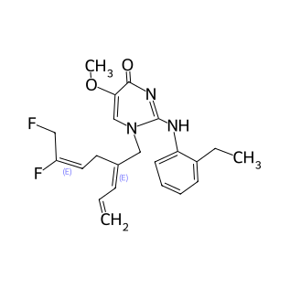 C=C/C=C(\C/C=C(/F)CF)Cn1cc(OC)c(=O)nc1Nc1ccccc1CC